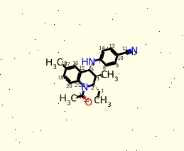 CC[C@H]1[C@H](C)[C@@H](Nc2ccc(C#N)cc2)c2cc(C)ccc2N1C(C)=O